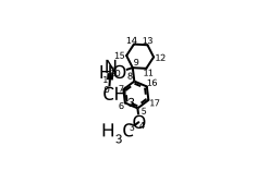 CC#N.COc1ccc(C2(O)CCCCC2)cc1